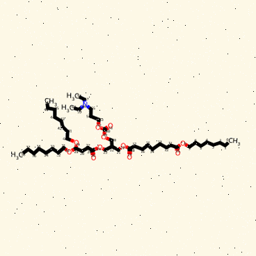 CCCCCCCCOC(=O)CCCCCCCC(=O)OCC(COC(=O)CCC(OCCCCCCCC)OCCCCCCCC)COC(=O)OCCCN(CC)CC